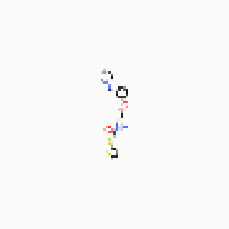 O=C(CSc1cccs1)NCCCOc1cccc(CN2CCCCC2)c1